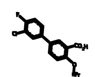 CCCOc1ccc(-c2ccc(F)c(Cl)c2)cc1C(=O)O